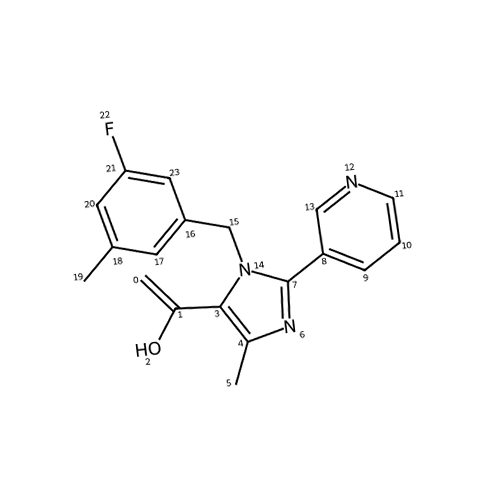 C=C(O)c1c(C)nc(-c2cccnc2)n1Cc1cc(C)cc(F)c1